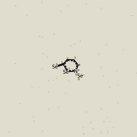 [Se]=c1ccc[n+]([Se-])[se]1